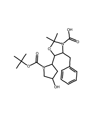 CC(C)(C)OC(=O)N1CC(O)CC1C1OC(C)(C)N(C(=O)O)C1Cc1ccccc1